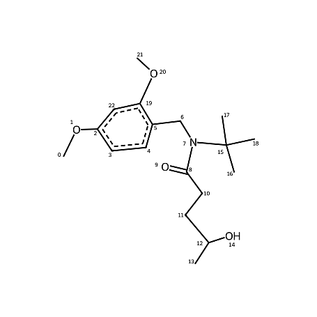 COc1ccc(CN(C(=O)CCC(C)O)C(C)(C)C)c(OC)c1